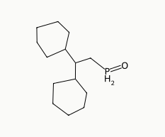 O=[PH2]CC(C1CCCCC1)C1CCCCC1